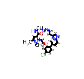 CNC(=O)C1C=C(C)N(C)N1CCOc1cc(Cl)ccc1-c1ccc2ncc(CCN)n2c1